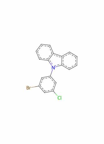 Clc1cc(Br)cc(-n2c3ccccc3c3ccccc32)c1